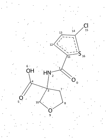 O=C(NC1(C(=O)O)CCOC1)c1ccc(Cl)s1